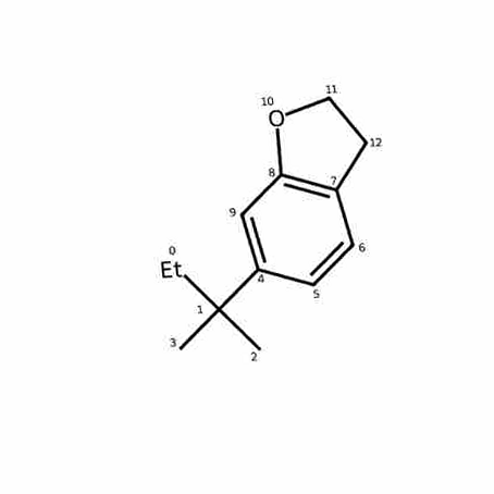 CCC(C)(C)c1ccc2c(c1)OCC2